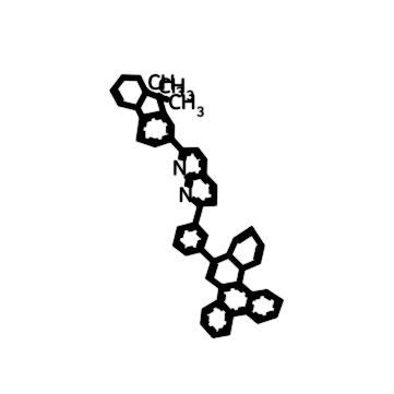 CC1(C)c2cc(-c3ccc4ccc(-c5cccc(C6=Cc7c(c8ccccc8c8ccccc78)C7C=CC=CC67)c5)nc4n3)ccc2C2C=CCCC21C